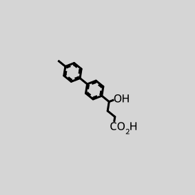 Cc1ccc(-c2ccc(C(O)CCC(=O)O)cc2)cc1